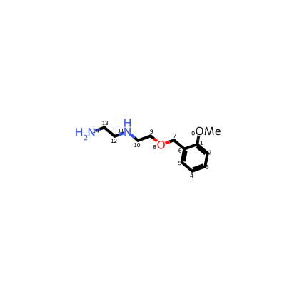 COc1ccccc1COCCNCCN